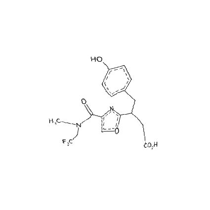 CN(CC(F)(F)F)C(=O)c1coc(C(CC(=O)O)Cc2ccc(O)cc2)n1